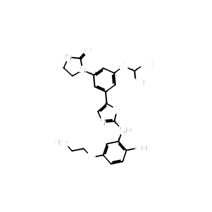 Cc1ccc(OCCO)cc1Nc1ncc(-c2cc(OC(C)C)cc(N3CCNC3=O)c2)o1